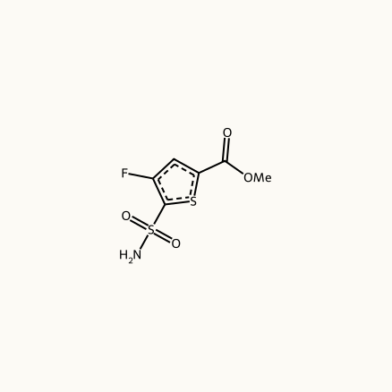 COC(=O)c1cc(F)c(S(N)(=O)=O)s1